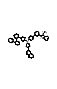 Cc1c(-c2cccc(-c3ccc(N(c4ccc(-c5ccc6ccccc6c5)cc4)c4ccc(-c5ccccc5-c5ccccc5-c5ccccc5)cc4)cc3)c2)oc2ccccc12